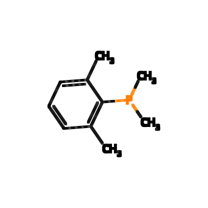 Cc1cccc(C)c1P(C)C